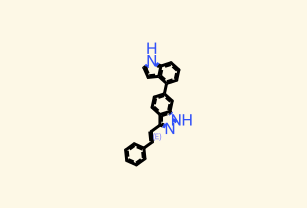 C(=C\c1n[nH]c2cc(-c3cccc4[nH]ccc34)ccc12)/c1ccccc1